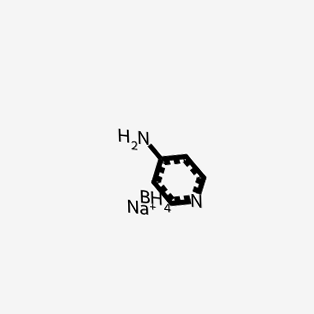 Nc1ccncc1.[BH4-].[Na+]